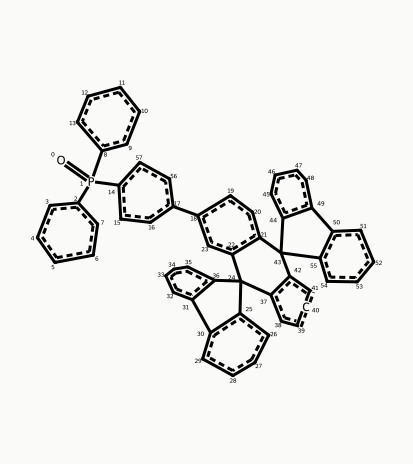 O=P(c1ccccc1)(c1ccccc1)c1ccc(-c2ccc3c(c2)C2(c4ccccc4-c4ccccc42)c2ccccc2C32c3ccccc3-c3ccccc32)cc1